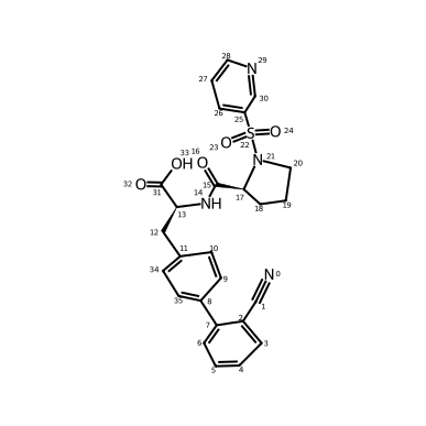 N#Cc1ccccc1-c1ccc(C[C@H](NC(=O)[C@@H]2CCCN2S(=O)(=O)c2cccnc2)C(=O)O)cc1